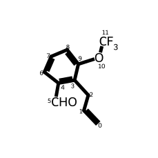 C=CCc1c(C=O)cccc1OC(F)(F)F